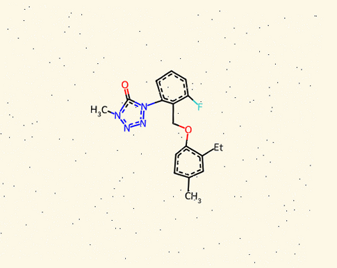 CCc1cc(C)ccc1OCc1c(F)cccc1-n1nnn(C)c1=O